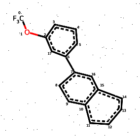 FC(F)(F)Oc1cc[c]c(-c2ccc3ccccc3c2)c1